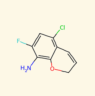 Nc1c(F)cc(Cl)c2c1OCC=C2